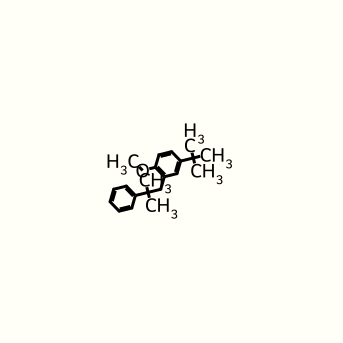 COc1ccc(C(C)(C)C)cc1CC(C)(C)c1ccccc1